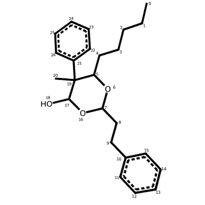 CCCCCC1OC(CCc2ccccc2)OC(O)C1(C)c1ccccc1